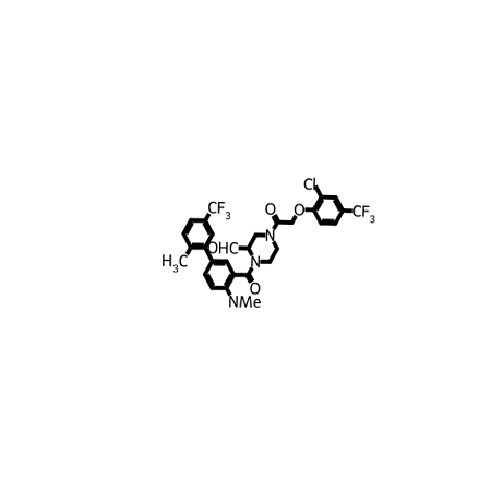 CNc1ccc(-c2cc(C(F)(F)F)ccc2C)cc1C(=O)N1CCN(C(=O)COc2ccc(C(F)(F)F)cc2Cl)CC1C=O